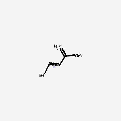 C=C(/C=C/CCC)C[CH]C